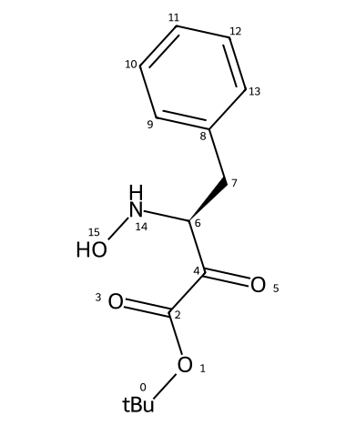 CC(C)(C)OC(=O)C(=O)[C@H](Cc1ccccc1)NO